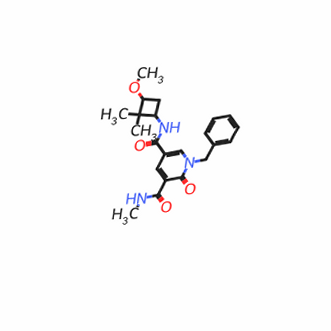 CNC(=O)c1cc(C(=O)NC2CC(OC)C2(C)C)cn(Cc2ccccc2)c1=O